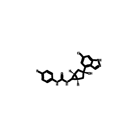 O=C(Nc1ccc(F)cc1)NC1[C@H]2C[C@](O)(c3cc(Cl)cc4[nH]ncc34)C[C@@H]12